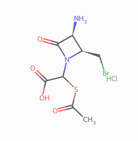 CC(=O)SC(C(=O)O)N1C(=O)[C@@H](N)[C@H]1CBr.Cl